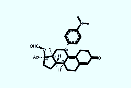 CC(=O)[C@@]1(OC=O)CC[C@H]2[C@@H]3CCC4=CC(=O)CCC4=C3[C@@H](c3ccc(N(C)C)cc3)C[C@@]21C